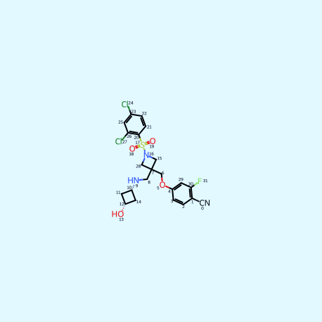 N#Cc1ccc(OCC2(CN[C@H]3C[C@@H](O)C3)CN(S(=O)(=O)c3ccc(Cl)cc3Cl)C2)cc1F